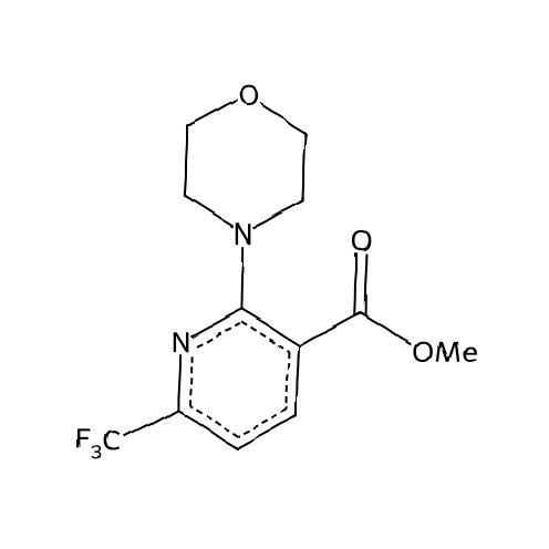 COC(=O)c1ccc(C(F)(F)F)nc1N1CCOCC1